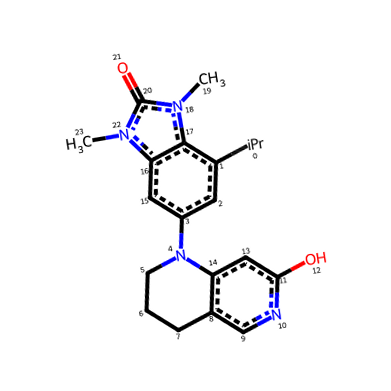 CC(C)c1cc(N2CCCc3cnc(O)cc32)cc2c1n(C)c(=O)n2C